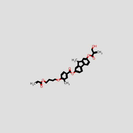 C=CC(=O)OCCCCOc1ccc(C(=O)Oc2ccc3c(c2)C(C)c2cc(OC(=O)C(=C)CO)ccc2-3)cc1C